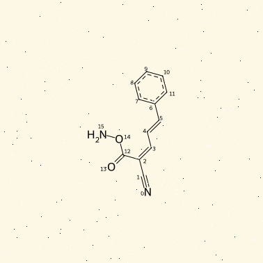 N#CC(=CC=Cc1ccccc1)C(=O)ON